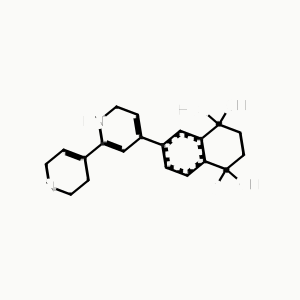 CC1(C)CCC(C)(C)c2cc(C3=CCNC(C4=CCNCC4)=C3)ccc21